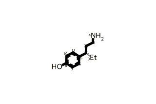 CC[C@@H](CCN)c1ccc(O)cc1